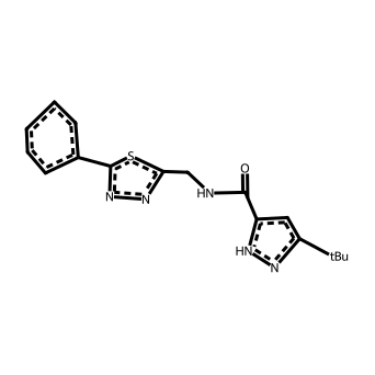 CC(C)(C)c1cc(C(=O)NCc2nnc(-c3ccccc3)s2)[nH]n1